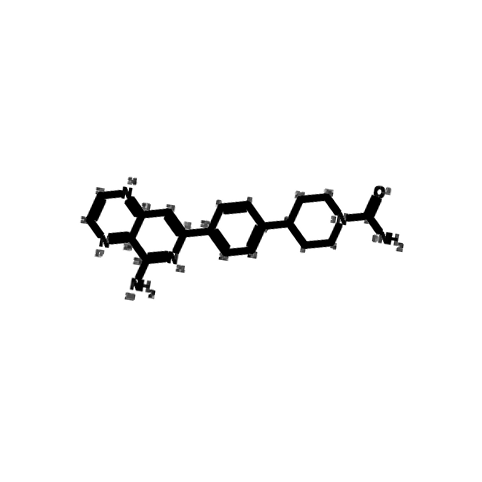 NC(=O)N1CCC(c2ccc(-c3cc4nccnc4c(N)n3)cc2)CC1